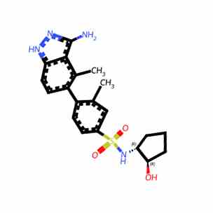 Cc1cc(S(=O)(=O)N[C@@H]2CCC[C@H]2O)ccc1-c1ccc2[nH]nc(N)c2c1C